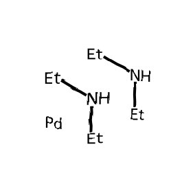 CCNCC.CCNCC.[Pd]